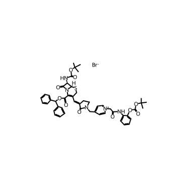 CC(C)(C)OC(=O)N[C@@H]1C(=O)N2C(C(=O)OC(c3ccccc3)c3ccccc3)=C(C=C3CCN(Cc4cc[n+](CC(=O)Nc5ccccc5OC(=O)OC(C)(C)C)cc4)C3=O)CS[C@H]12.[Br-]